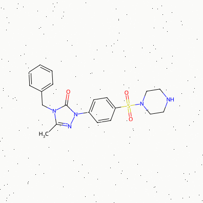 Cc1nn(-c2ccc(S(=O)(=O)N3CCNCC3)cc2)c(=O)n1Cc1ccccc1